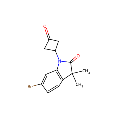 CC1(C)C(=O)N(C2CC(=O)C2)c2cc(Br)ccc21